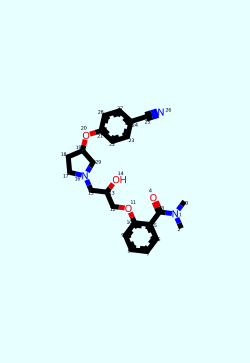 CN(C)C(=O)c1ccccc1OCC(O)CN1CCC(Oc2ccc(C#N)cc2)C1